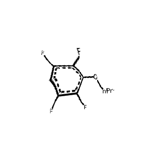 CC[CH]Oc1c(F)c(F)cc(F)c1F